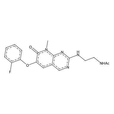 CC(=O)NCCNc1ncc2cc(Oc3ccccc3F)c(=O)n(C)c2n1